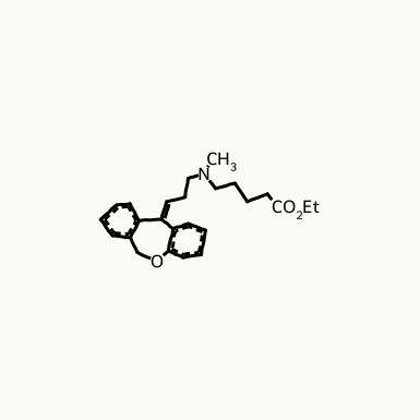 CCOC(=O)CCCCN(C)CC/C=C1/c2ccccc2COc2ccccc21